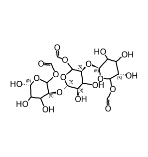 O=COC1O[C@@H](O[C@@H]2C(OC=O)O[C@@H](O[C@@H]3C(OC=O)O[C@@H](O)C(O)C3O)[C@H](O)C2O)C(O)C(O)[C@@H]1O